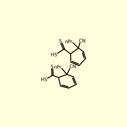 CCCC1(C#N)C=CC=CC1C(=S)S.CCCC1(C#N)C=CC=CC1C(=S)S